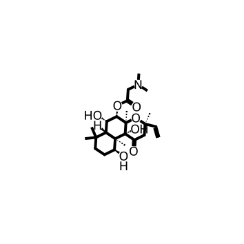 C=C[C@@]1(C)CC(=O)[C@@]2(O)[C@@]3(C)[C@@H](O)CCC(C)(C)[C@@H]3[C@H](O)[C@H](OC(=O)CN(C)C)[C@@]2(C)O1